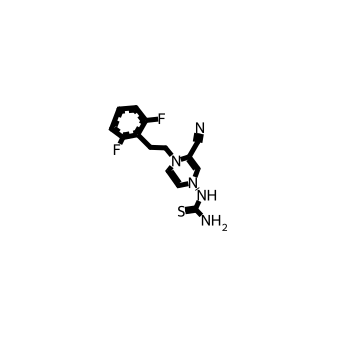 N#CC1=CN(NC(N)=S)C=CN1CCc1c(F)cccc1F